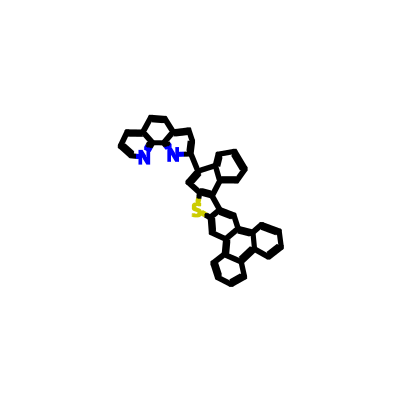 c1cnc2c(c1)ccc1ccc(-c3cc4sc5cc6c7ccccc7c7ccccc7c6cc5c4c4ccccc34)nc12